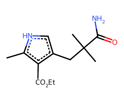 CCOC(=O)c1c(CC(C)(C)C(N)=O)c[nH]c1C